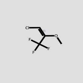 CO/C(=C/Cl)C(F)(F)F